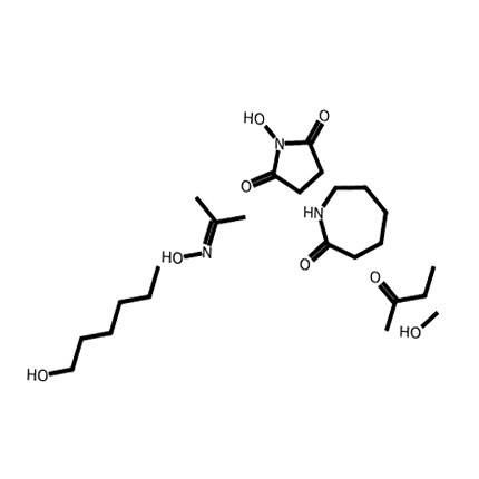 CC(C)=NO.CCC(C)=O.CCCCCCO.CO.O=C1CCC(=O)N1O.O=C1CCCCCN1